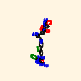 NC(=O)c1nnc(Cl)nc1Nc1ccc(C2CCN(CC3CCNC3c3ccc4c(c3)C(=O)N(C3C=CC(=O)NC3=O)C4=O)CC2)c(F)c1